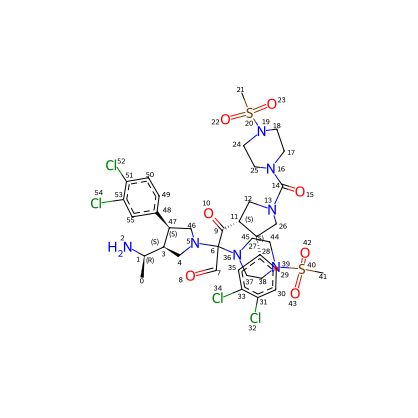 C[C@@H](N)[C@@H]1CN(C(C=O)(C(=O)[C@@H]2CN(C(=O)N3CCN(S(C)(=O)=O)CC3)C[C@@H]2c2ccc(Cl)c(Cl)c2)N2CCN(S(C)(=O)=O)CC2)C[C@@H]1c1ccc(Cl)c(Cl)c1